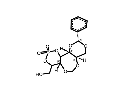 O=S1(=O)OC(CO)[C@H]2OCO[C@@H]3CO[C@@H](c4ccccc4)O[C@H]3C2O1